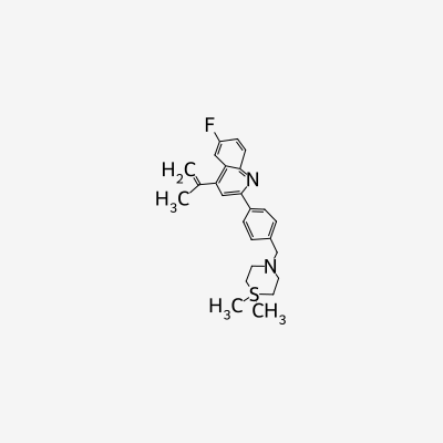 C=C(C)c1cc(-c2ccc(CN3CCS(C)(C)CC3)cc2)nc2ccc(F)cc12